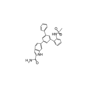 CS(=O)(=O)Nc1ccccc1-c1cc(-c2ccccc2)cc(-c2ccc3cc(C(N)=O)[nH]c3c2)c1